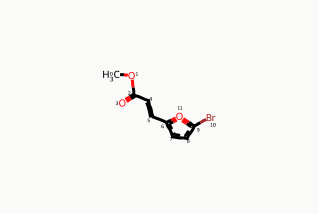 COC(=O)/C=C/c1ccc(Br)o1